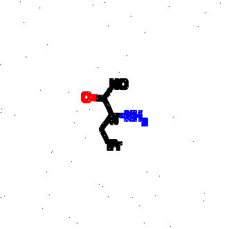 CC(C)C[C@H](N)C(=O)N=O